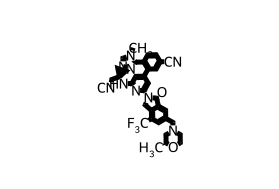 C[C@@H]1CN(Cc2cc3c(c(C(F)(F)F)c2)CN(c2cc(-c4cc(C#N)ccc4-c4nncn4C)cc(NC4(CC#N)CC4)n2)C3=O)CCO1